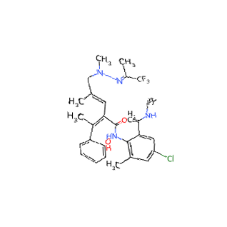 C=C(NC(C)C)c1cc(Cl)cc(C)c1NC(=O)C(/C=C(\C)CN(C)/N=C(\C)C(F)(F)F)=C(/C)c1ccccc1O